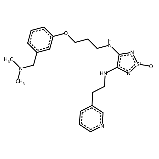 CN(C)Cc1cccc(OCCCNc2n[s+]([O-])nc2NCCc2cccnc2)c1